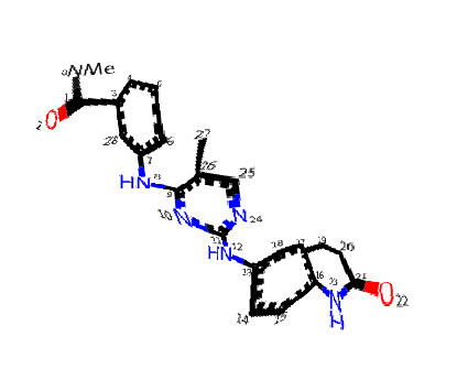 CNC(=O)c1cccc(Nc2nc(Nc3ccc4c(c3)CCC(=O)N4)ncc2C)c1